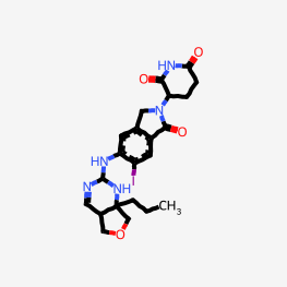 CCCC12COCC1C=NC(Nc1cc3c(cc1I)C(=O)N(C1CCC(=O)NC1=O)C3)N2